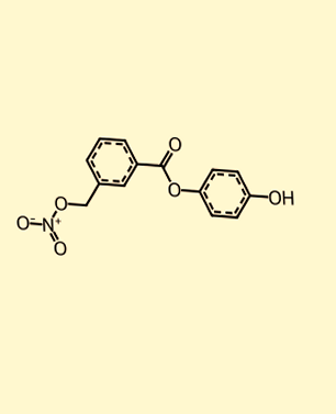 O=C(Oc1ccc(O)cc1)c1cccc(CO[N+](=O)[O-])c1